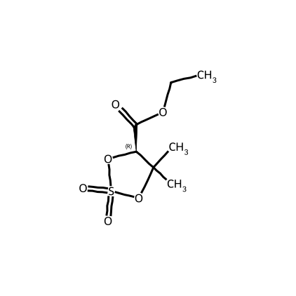 CCOC(=O)[C@@H]1OS(=O)(=O)OC1(C)C